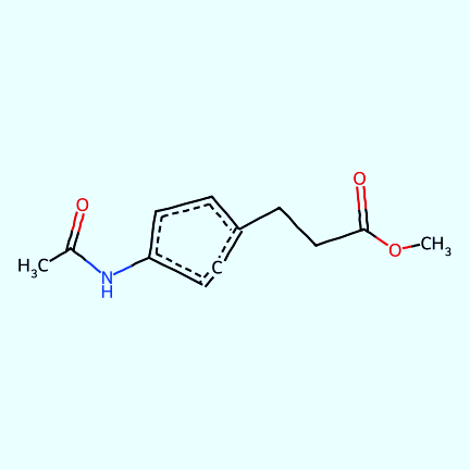 COC(=O)CCc1ccc(NC(C)=O)cc1